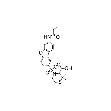 CCC(=O)Nc1ccc2c(c1)oc1ccc(S(=O)(=O)N3CCSC(C)(C)C3C(=O)O)cc12